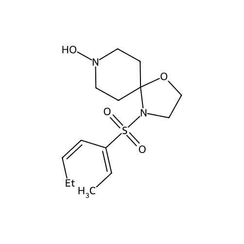 C/C=C(\C=C/CC)S(=O)(=O)N1CCOC12CCN(O)CC2